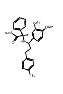 CNC(=O)C(C)(NC(CCc1ccc(C(F)(F)F)cc1)c1ccc(OC)c(OC)c1)c1ccccc1